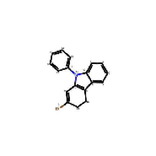 BrC1=Cc2c(c3ccccc3n2-c2ccccc2)CC1